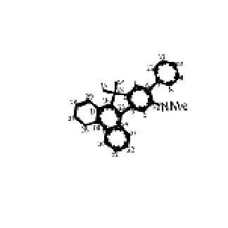 CNc1cc2c(cc1-c1ccccc1)C(C)(C)c1c3c(c4ccccc4c1-2)CCC=C3